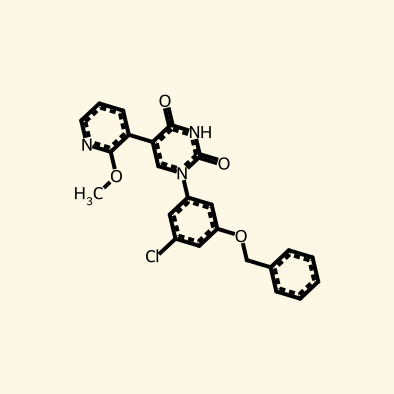 COc1ncccc1-c1cn(-c2cc(Cl)cc(OCc3ccccc3)c2)c(=O)[nH]c1=O